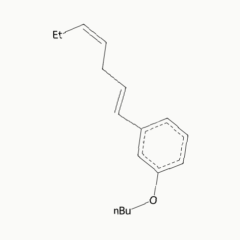 CC/C=C\C/C=C/c1cccc(OCCCC)c1